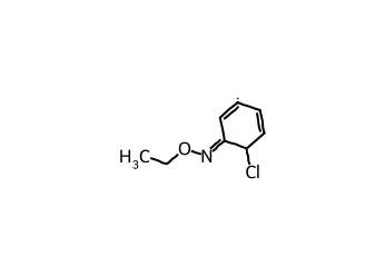 CCON=C1C=[C]C=CC1Cl